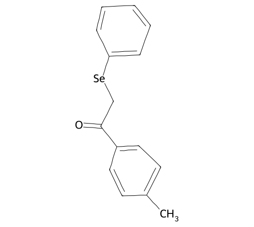 Cc1ccc(C(=O)C[Se]c2ccccc2)cc1